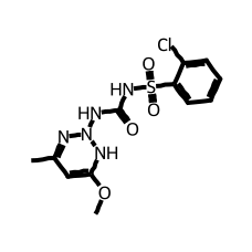 COC1=CC(C)=NN(NC(=O)NS(=O)(=O)c2ccccc2Cl)N1